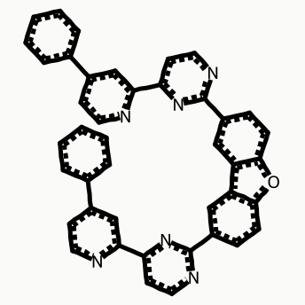 c1ccc(-c2ccnc(-c3ccnc(-c4ccc5oc6ccc(-c7nccc(-c8cc(-c9ccccc9)ccn8)n7)cc6c5c4)n3)c2)cc1